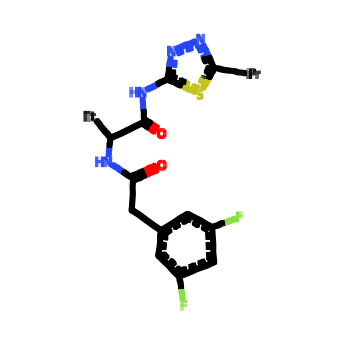 CCC(NC(=O)Cc1cc(F)cc(F)c1)C(=O)Nc1nnc(C(C)C)s1